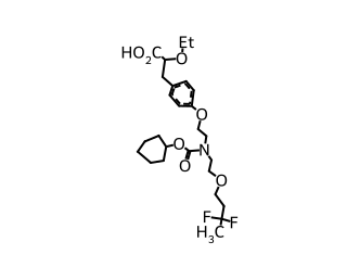 CCOC(Cc1ccc(OCCN(CCOCCC(C)(F)F)C(=O)OC2CCCCC2)cc1)C(=O)O